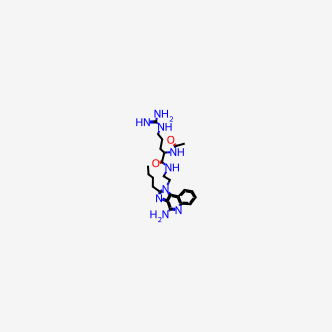 CCCCc1nc2c(N)nc3ccccc3c2n1CCNC(=O)C(CCCNC(=N)N)NC(C)=O